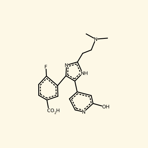 CN(C)CCc1nc(-c2cc(C(=O)O)ccc2F)c(-c2ccnc(O)c2)[nH]1